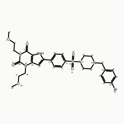 COCCn1c(=O)c2[nH]c(-c3ccc(S(=O)(=O)N4CCN(Cc5ccc(Br)cc5)CC4)cc3)cc2n(CCOC)c1=O